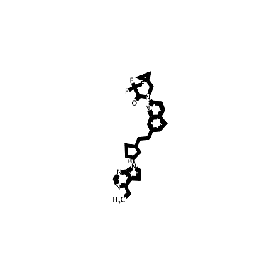 C=Cc1ncnc2c1ccn2[C@H]1CCC(CCc2ccc3ccc(N(CC4CC4)C(=O)C(F)(F)F)nc3c2)C1